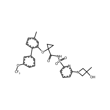 Cc1ccc(-c2cccc(OC(F)(F)F)c2)c(OC2(C(=O)NS(=O)(=O)c3cccc(N4CC(C)(O)C4)n3)CC2)c1